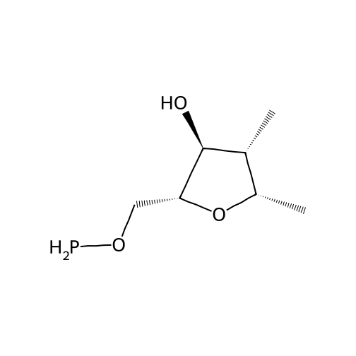 C[C@H]1[C@H](O)[C@@H](COP)O[C@H]1C